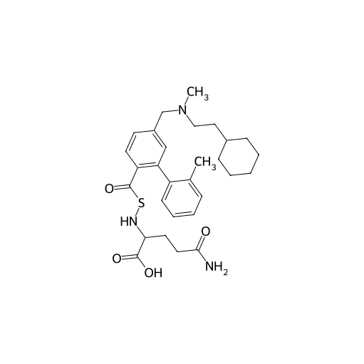 Cc1ccccc1-c1cc(CN(C)CCC2CCCCC2)ccc1C(=O)SNC(CCC(N)=O)C(=O)O